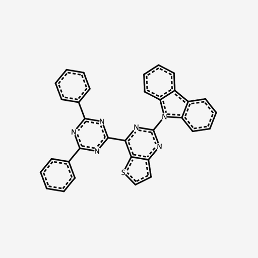 c1ccc(-c2nc(-c3ccccc3)nc(-c3nc(-n4c5ccccc5c5ccccc54)nc4ccsc34)n2)cc1